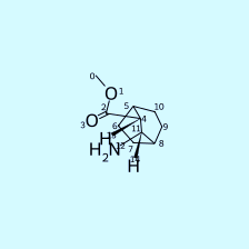 COC(=O)[C@@H]1C2CCC(CC2)[C@@H]1N